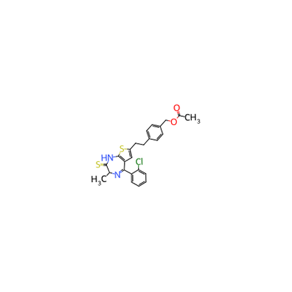 CC(=O)OCc1ccc(CCc2cc3c(s2)NC(=S)C(C)N=C3c2ccccc2Cl)cc1